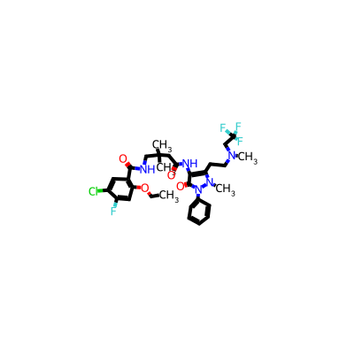 CCOc1cc(F)c(Cl)cc1C(=O)NCC(C)(C)CC(=O)Nc1c(CCN(C)CC(F)(F)F)n(C)n(-c2ccccc2)c1=O